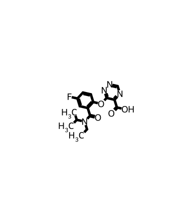 CCN(C(=O)c1cc(F)ccc1Oc1nncnc1C(=O)O)C(C)C